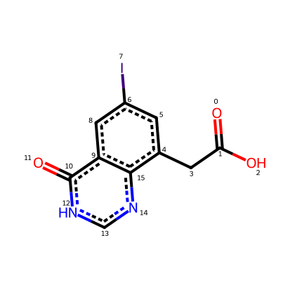 O=C(O)Cc1cc(I)cc2c(=O)[nH]cnc12